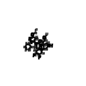 CCOc1nn(-c2ccccc2)c(NC(=O)N[C@@]2(C(C)COC)CNC[C@H]2c2ccc(F)c(F)c2)c1C